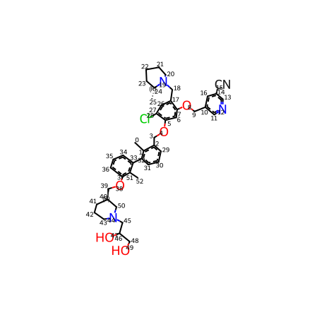 Cc1c(COc2cc(OCc3cncc(C#N)c3)c(CN3CCCC[C@H]3C)cc2Cl)cccc1-c1cccc(OC[C@@H]2CCCN(CC(O)CO)C2)c1C